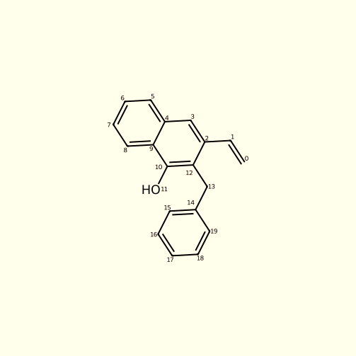 C=Cc1cc2ccccc2c(O)c1Cc1ccccc1